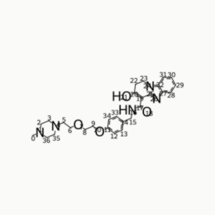 CN1CCN(CCOCCOc2ccc(CNC(=O)C3=C(O)CCn4c3nc3ccccc34)cc2)CC1